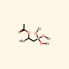 CCCCC(C[Si](OCC)(OCC)OCC)OC(C)=S